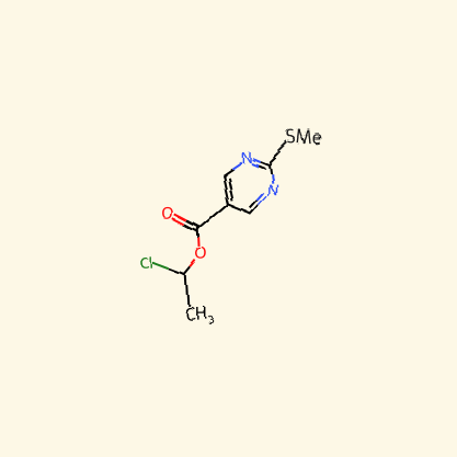 CSc1ncc(C(=O)OC(C)Cl)cn1